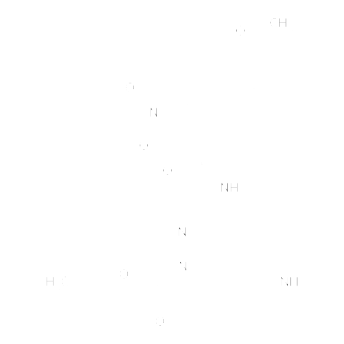 CCOC(=O)n1nc(NC(=O)c2ccc(OC)cc2[N+](=O)[O-])c2c1CCNC2